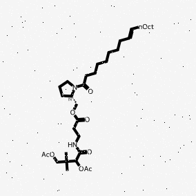 CCCCCCCCC=CCCCCCCCC(=O)N1CCC[C@H]1COC(=O)CCNC(=O)C(OC(C)=O)C(C)(C)COC(C)=O